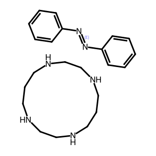 C1CNCCNCCCNCCNC1.c1ccc(/N=N/c2ccccc2)cc1